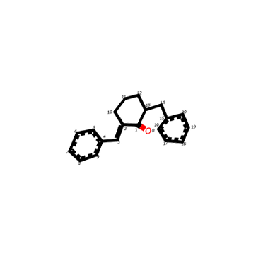 O=C1C(=Cc2ccccc2)CCCC1Cc1ccccc1